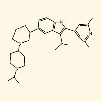 Cc1cc(-c2[nH]c3ccc(C4CCCN(C5CCN(C(C)C)CC5)C4)cc3c2C(C)C)cc(C)n1